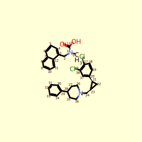 CN(Cc1cccc2ccccc12)C(=O)O.Clc1ccc([C@H]2C[C@H]2CN2CCC(c3ccccc3)CC2)cc1Cl